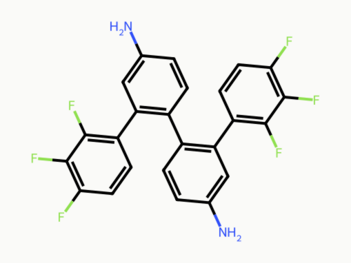 Nc1ccc(-c2ccc(N)cc2-c2ccc(F)c(F)c2F)c(-c2ccc(F)c(F)c2F)c1